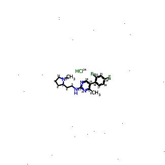 Cc1nc(NCCC2CCCN2C)ncc1-c1ccc(F)cc1F.Cl